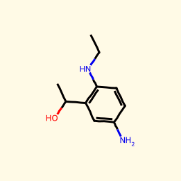 CCNc1ccc(N)cc1C(C)O